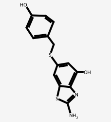 Nc1nc2c(O)cc(SCc3ccc(O)cc3)cc2s1